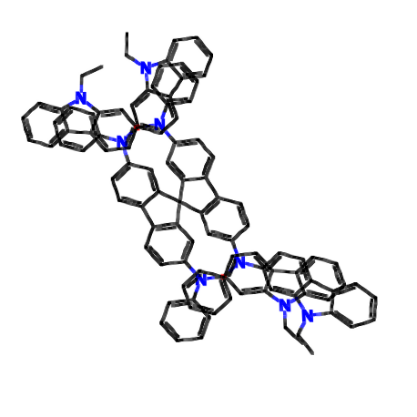 CCn1c2ccccc2c2ccc(N(c3ccccc3)c3ccc4c(c3)C3(c5cc(N(c6ccccc6)c6ccc7c8ccccc8n(CC)c7c6)ccc5-4)c4cc(N(c5ccccc5)c5ccc6c7ccccc7n(CC)c6c5)ccc4-c4ccc(N(c5ccccc5)c5ccc6c7ccccc7n(CC)c6c5)cc43)cc21